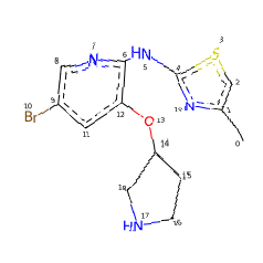 Cc1csc(Nc2ncc(Br)cc2OC2CCNC2)n1